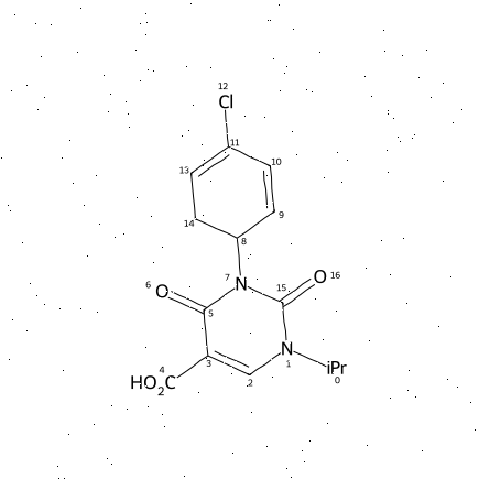 CC(C)n1cc(C(=O)O)c(=O)n(C2C=CC(Cl)=CC2)c1=O